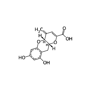 C=C1C=C(C(=O)O)O[C@@H]2Cc3c(O)cc(O)cc3O[C@H]12